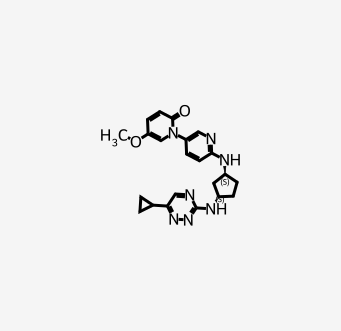 COc1ccc(=O)n(-c2ccc(N[C@H]3CC[C@H](Nc4ncc(C5CC5)nn4)C3)nc2)c1